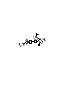 C[C@H]1CN(C(=O)C2CC2)c2cc(-c3ccc(S(=O)(=O)CCN)cc3)ccc2N1C(=O)C1CC1